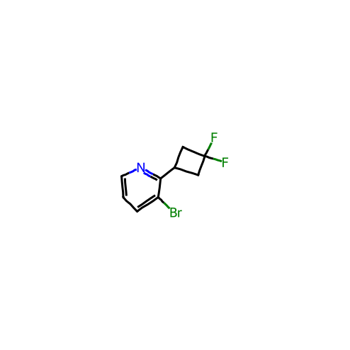 FC1(F)CC(c2ncccc2Br)C1